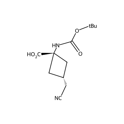 CC(C)(C)OC(=O)N[C@]1(C(=O)O)C[C@H](CC#N)C1